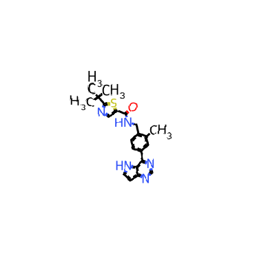 Cc1cc(-c2ncnc3cc[nH]c23)ccc1CNC(=O)c1cnc(C(C)(C)C)s1